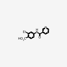 CCc1cc(NC(=O)c2cccnc2)ccc1C(=O)O